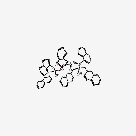 O=C(CC(=O)N[C@@H](c1cccc2ccccc12)C(O)(Cc1ccc2ccccc2c1)Cc1ccc2ccccc2c1)N[C@@H](c1cccc2ccccc12)C(O)(Cc1ccc2ccccc2c1)Cc1ccc2ccccc2c1